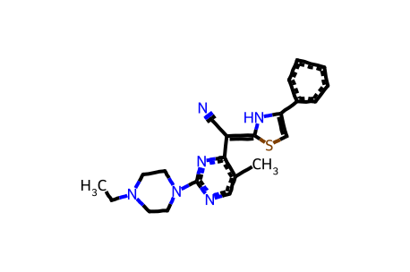 CCN1CCN(c2ncc(C)c(C(C#N)=C3NC(c4ccccc4)=CS3)n2)CC1